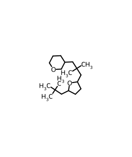 CC(C)(C)CC1CCC(CC(C)(C)CC2CCCOC2)O1